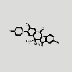 CC1(C)c2cc(N3CCC(=O)CC3)c(Cl)cc2C(=O)c2c1[nH]c1cc(Br)ccc21